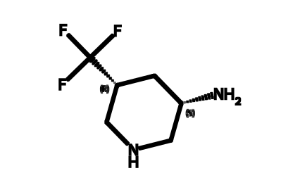 N[C@@H]1CNC[C@H](C(F)(F)F)C1